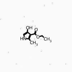 CCOC(=O)c1c(O)c[nH]c1C